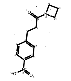 O=C(CCc1ccc([N+](=O)[O-])cc1)N1CCC1